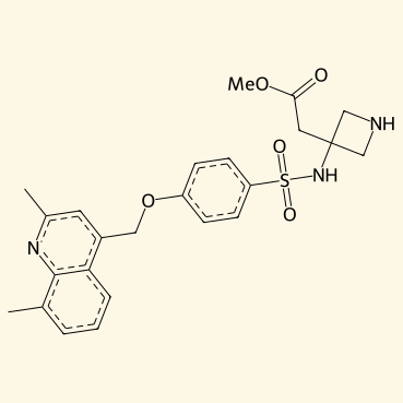 COC(=O)CC1(NS(=O)(=O)c2ccc(OCc3cc(C)nc4c(C)cccc34)cc2)CNC1